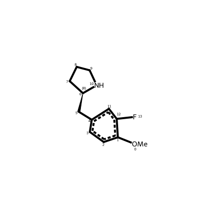 COc1ccc(C[C@H]2CCCN2)cc1F